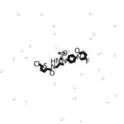 C[S+]([O-])c1nc(CNC(=O)c2ccc(Cl)s2)cn1-c1ccc(-n2cc(F)ccc2=O)cc1